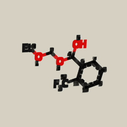 CCOCOC(O)c1ccccc1C(F)(F)F